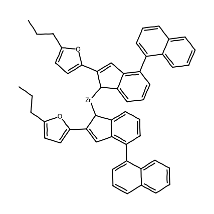 CCCc1ccc(C2=Cc3c(-c4cccc5ccccc45)cccc3[CH]2[Zr][CH]2C(c3ccc(CCC)o3)=Cc3c(-c4cccc5ccccc45)cccc32)o1